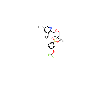 Cc1cnc(C2CC(C)(S(=O)(=O)c3cccc(OC(F)F)c3)CCO2)c(C)c1